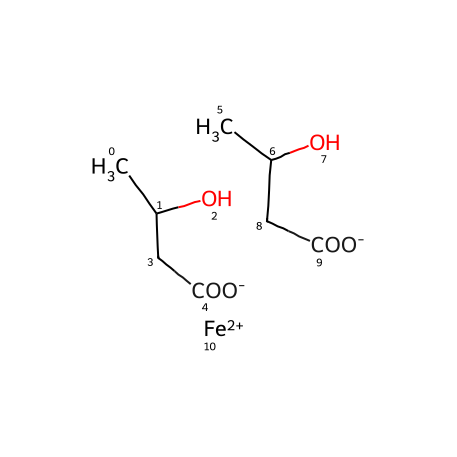 CC(O)CC(=O)[O-].CC(O)CC(=O)[O-].[Fe+2]